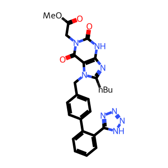 CCCCc1nc2[nH]c(=O)n(CC(=O)OC)c(=O)c2n1Cc1ccc(-c2ccccc2-c2nnn[nH]2)cc1